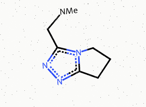 CNCc1nnc2n1CCC2